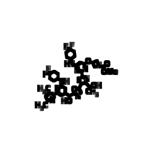 COC(=O)N1CC(Oc2cc(NC3CCC(F)(F)CC3)nc(-c3nc(C(C)O)c(-c4cnc(C(O)c5cc(NC6CCC(F)(F)CC6)nc(-n6nc(C)cc6C)c5)o4)s3)n2)C1